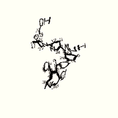 C[C@@H](Oc1ccc2[nH]nc(-c3ccc(N4CC(C)(OCCO)C4)nc3)c2c1)c1c(Cl)cncc1Cl